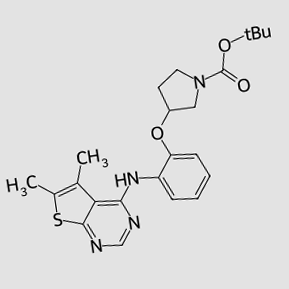 Cc1sc2ncnc(Nc3ccccc3OC3CCN(C(=O)OC(C)(C)C)C3)c2c1C